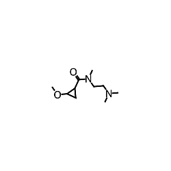 COC1CC1C(=O)N(C)CCN(C)C